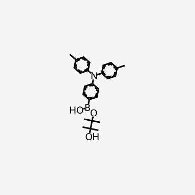 Cc1ccc(N(c2ccc(C)cc2)c2ccc(B(O)OC(C)(C)C(C)(C)O)cc2)cc1